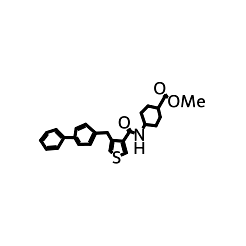 COC(=O)C1CCC(NC(=O)c2cscc2Cc2ccc(-c3ccccc3)cc2)CC1